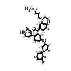 COCCCN1CCOc2ccc(CO[C@H]3CNCC[C@@H]3c3ccc(OC4CCN(c5cccc(F)c5)C4)cc3)cc21